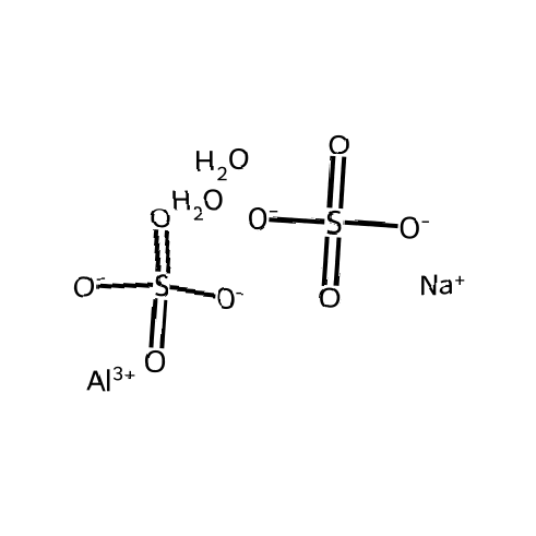 O.O.O=S(=O)([O-])[O-].O=S(=O)([O-])[O-].[Al+3].[Na+]